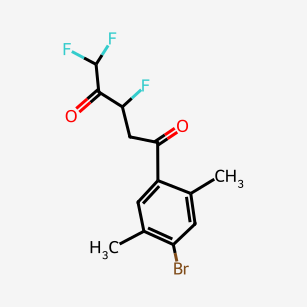 Cc1cc(C(=O)CC(F)C(=O)C(F)F)c(C)cc1Br